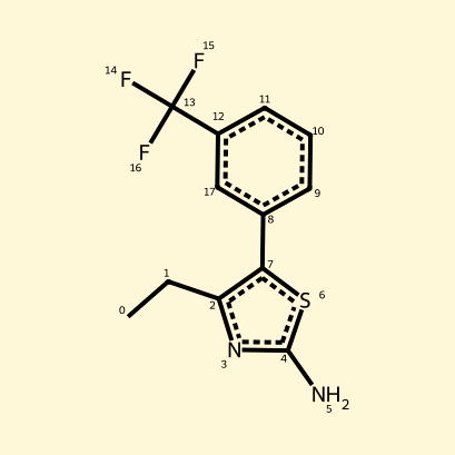 CCc1nc(N)sc1-c1cccc(C(F)(F)F)c1